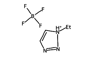 CC[NH+]1C=CN=N1.F[B-](F)(F)F